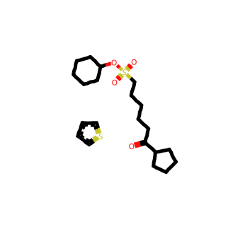 O=C(CCCCCS(=O)(=O)OC1CCCCC1)C1CCCC1.c1ccsc1